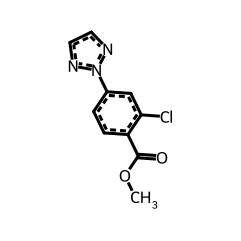 COC(=O)c1ccc(-n2nccn2)cc1Cl